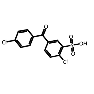 O=C(c1ccc(Cl)cc1)c1ccc(Cl)c(S(=O)(=O)O)c1